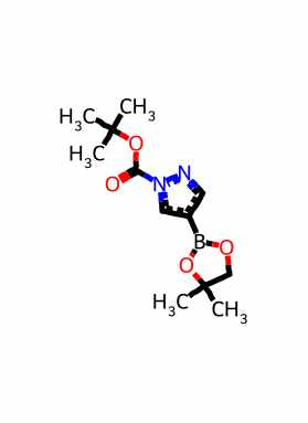 CC(C)(C)OC(=O)n1cc(B2OCC(C)(C)O2)cn1